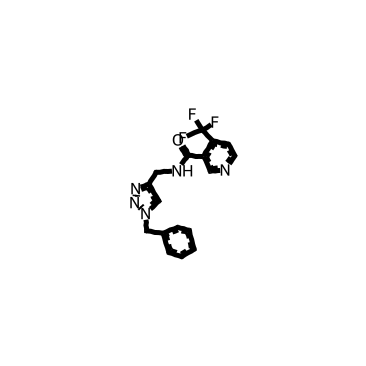 O=C(NCc1cn(Cc2ccccc2)nn1)c1cnccc1C(F)(F)F